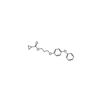 O=C(OCCCOc1ccc(Oc2ccccc2)cc1)C1CC1